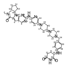 CN(C)C(=O)c1cc2cnc(Nc3ccc(N4CCC(N5CCN(Cc6ccc(NC7CCC(=O)NC7=O)cc6)CC5)CC4)cn3)nc2n1C1CCCC1